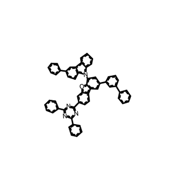 c1ccc(-c2cccc(-c3cc(-n4c5ccccc5c5cc(-c6ccccc6)ccc54)c4oc5cc(-c6nc(-c7ccccc7)nc(-c7ccccc7)n6)ccc5c4c3)c2)cc1